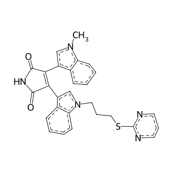 Cn1cc(C2=C(c3cn(CCCSc4ncccn4)c4ccccc34)C(=O)NC2=O)c2ccccc21